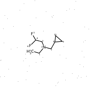 CCN(CC(F)F)CC1CC1